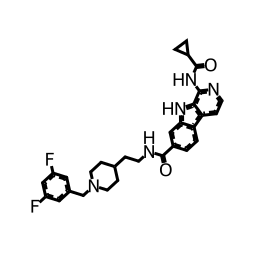 O=C(NCCC1CCN(Cc2cc(F)cc(F)c2)CC1)c1ccc2c(c1)[nH]c1c(NC(=O)C3CC3)nccc12